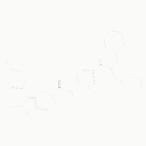 Cc1nc2ccc(C(=O)Nc3ccc(C(=O)N(CC4CCCCC4)CC4CCCCC4)cc3)cc2n1-c1ccc(F)cc1